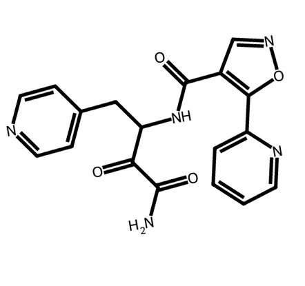 NC(=O)C(=O)C(Cc1ccncc1)NC(=O)c1cnoc1-c1ccccn1